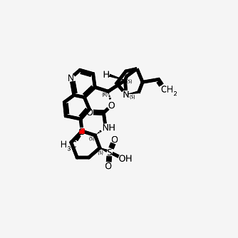 C=CC1C[N@@]2CCC1C[C@H]2[C@H](OC(=O)N[C@H]1CCCC[C@@H]1S(=O)(=O)O)c1ccnc2ccc(OC)cc12